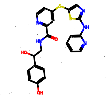 O=C(NCC(O)c1ccc(O)cc1)c1cc(Sc2cnc(Nc3ccccn3)s2)ccn1